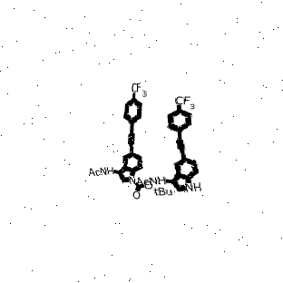 CC(=O)Nc1c[nH]c2ccc(C#Cc3ccc(C(F)(F)F)cc3)cc12.CC(=O)Nc1cn(C(=O)OC(C)(C)C)c2ccc(C#Cc3ccc(C(F)(F)F)cc3)cc12